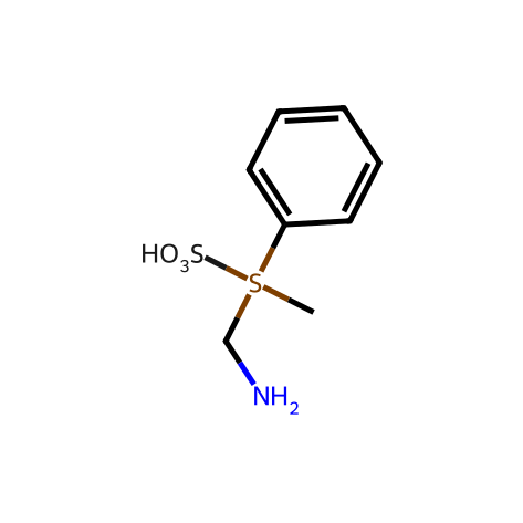 CS(CN)(c1ccccc1)S(=O)(=O)O